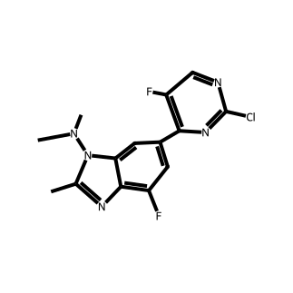 Cc1nc2c(F)cc(-c3nc(Cl)ncc3F)cc2n1N(C)C